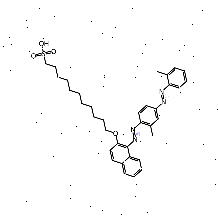 Cc1ccccc1/N=N/c1ccc(/N=N/c2c(OCCCCCCCCCCCS(=O)(=O)O)ccc3ccccc23)c(C)c1